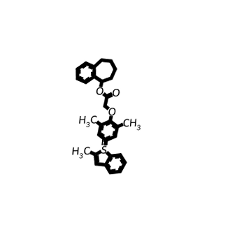 CC1=Cc2ccccc2[SH]1c1cc(C)c(OCC(=O)OC2CCCCc3ccccc32)c(C)c1